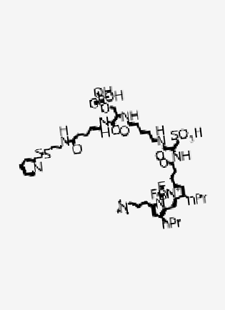 CCCC1=CC(CCC(=O)NC(CS(=O)(=O)O)C(=O)NCCCCC(=O)NC(COP(=O)(O)O)C(=O)NCCCCC(=O)NCCSSc2ccccn2)=[N+]2C1=Cc1c(CCC)cc(CCC[N+](C)(C)C)n1[B-]2(F)F